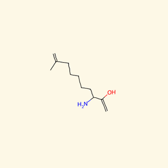 C=C(C)CCCCCC(N)C(=C)O